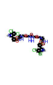 CN1Cc2c(Cl)cc(Cl)cc2C(c2cccc(S(=O)(=O)N[C@H]3CCN(CCOCCNC(=O)NCCOCCN4CC[C@H](NS(=O)(=O)c5cccc(C6CN(C)Cc7c(Cl)cc(Cl)cc76)c5)C4)C3)c2)C1